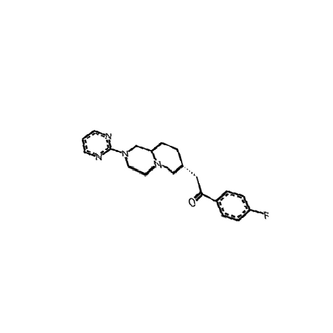 O=C(C[C@H]1CCC2CN(c3ncccn3)CCN2C1)c1ccc(F)cc1